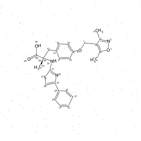 Cc1noc(C)c1COc1ccc(C[C@](C)(Nc2nc(-c3ccccc3)cs2)C(=O)O)cc1